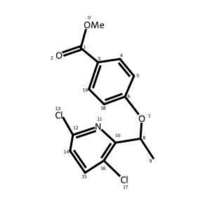 COC(=O)c1ccc(OC(C)c2nc(Cl)ccc2Cl)cc1